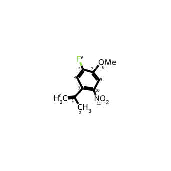 C=C(C)c1cc(F)c(OC)cc1[N+](=O)[O-]